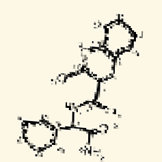 NC(=O)C(NC(=O)c1cc2ccccc2oc1=O)c1ccccc1